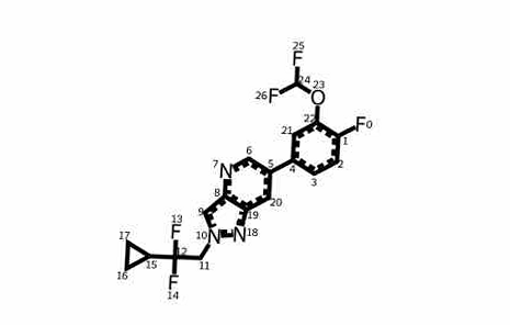 Fc1ccc(-c2cnc3cn(CC(F)(F)C4CC4)nc3c2)cc1OC(F)F